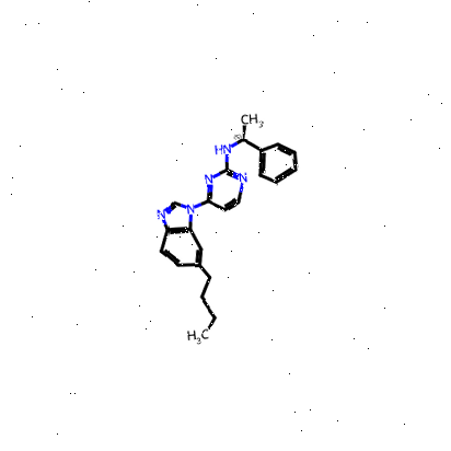 CCCCc1ccc2ncn(-c3ccnc(N[C@@H](C)c4ccccc4)n3)c2c1